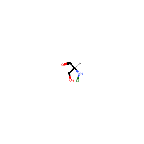 C[C@@](C=O)(CO)NCl